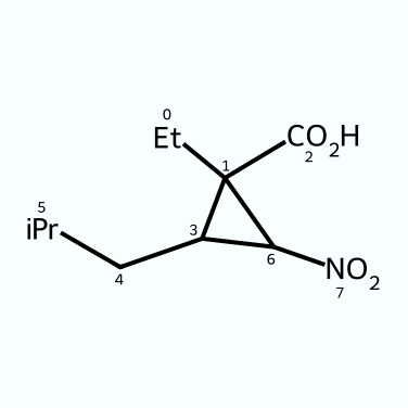 CCC1(C(=O)O)C(CC(C)C)C1[N+](=O)[O-]